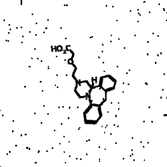 O=C(O)COCCN1CCN2c3ccccc3Cc3ccccc3[C@H]2C1